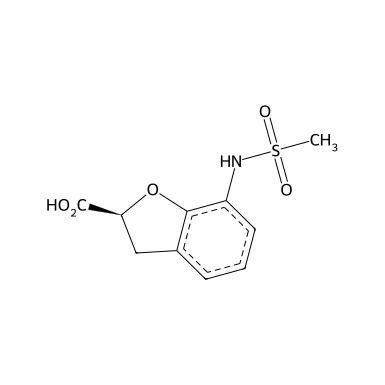 CS(=O)(=O)Nc1cccc2c1O[C@H](C(=O)O)C2